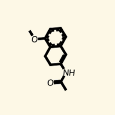 COc1cccc2c1CCC(NC(C)=O)=C2